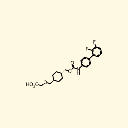 O=C(O)COC[C@H]1CC[C@H](COC(=O)Nc2ccc(-c3cccc(F)c3F)cc2)CC1